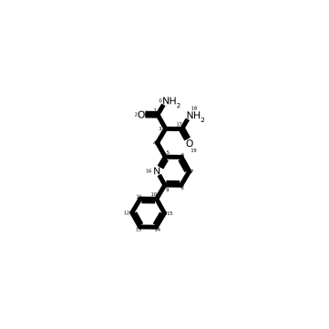 NC(=O)C(Cc1cccc(-c2ccccc2)n1)C(N)=O